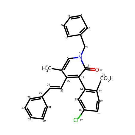 Cc1cn(Cc2ccccc2)c(=O)c(-c2cc(Cl)ccc2C(=O)O)c1C=Cc1ccccc1